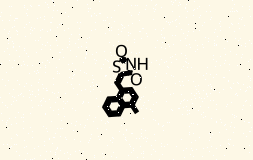 Cc1ccc(C=C2SC(=O)NC2=O)c2ccccc12